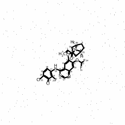 C=CC(=O)N1[C@@H]2CC[C@H]1CC(Oc1cc3c(Nc4ccc(Cl)c(Cl)c4F)ncnc3cc1OC(F)F)C2